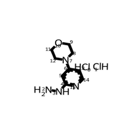 Cl.Cl.NNc1cc(N2CCOCC2)ccn1